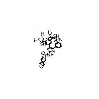 N#Cc1cccc(-c2nc(NC(=O)N3CC4(COC4)C3)sc2-c2cc(C(S)(S)S)nc(C(S)(S)S)c2)c1